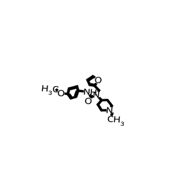 CCN1CCC(N(Cc2ccco2)C(=O)Nc2ccc(OC)cc2)CC1